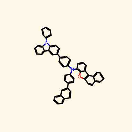 c1ccc(-n2c3ccccc3c3cc(-c4ccc(N(c5ccc(-c6ccc7ccccc7c6)cc5)c5cccc6c5oc5ccc7ccccc7c56)cc4)ccc32)cc1